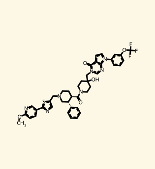 COc1ccc(-c2ncc(CN3CC[C@@H](C(=O)N4CCC(O)(Cn5cnc6c(ccn6-c6cccc(OC(F)(F)F)c6)c5=O)CC4)[C@H](c4ccccc4)C3)s2)cn1